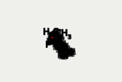 CC1(C)c2ccccc2-c2c(N(c3cccc(F)c3)c3ccc4ccc5c(N(c6ccccc6)c6cnccn6)ccc6ccc3c4c65)cccc21